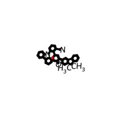 CC1(C)c2ccccc2-c2cc3c(cc21)oc1ccc(-c2c(C#N)cccc2-n2c4ccccc4c4ccccc42)cc13